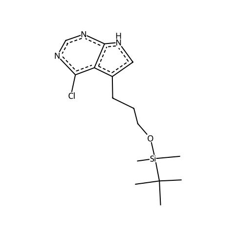 CC(C)(C)[Si](C)(C)OCCCc1c[nH]c2ncnc(Cl)c12